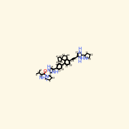 CC(C)[C@@H](N)C(=O)N1CCC[C@H]1C1NC=C(c2ccc(-c3ccc(C#CC4=CNC([C@@H]5CCCN5)N4)c4c3C3(CCCC3)CC4)cc2)N1